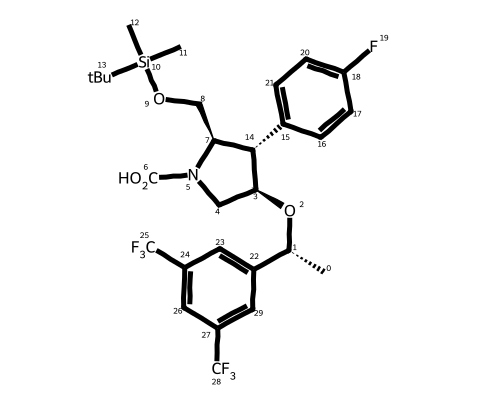 C[C@@H](O[C@H]1CN(C(=O)O)[C@@H](CO[Si](C)(C)C(C)(C)C)[C@@H]1c1ccc(F)cc1)c1cc(C(F)(F)F)cc(C(F)(F)F)c1